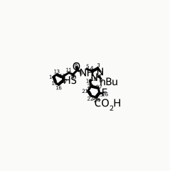 CCCCc1ncc(CNC(=O)C(S)Cc2ccccc2)n1Cc1ccc(C(=O)O)c(F)c1